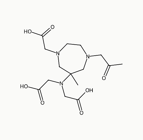 CC(=O)CN1CCN(CC(=O)O)CC(C)(N(CC(=O)O)CC(=O)O)C1